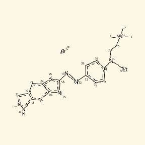 CCN(CC[N+](C)(C)C)c1ccc(/N=N/c2nc3cc4[nH]ncc4cc3s2)cc1.[Br-]